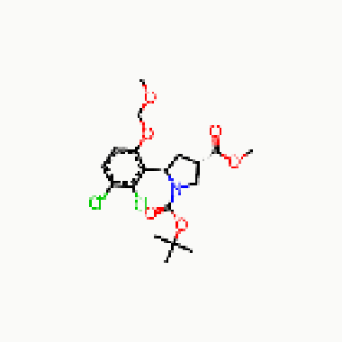 COCOc1ccc(Cl)c(Cl)c1[C@H]1C[C@H](C(=O)OC)CN1C(=O)OC(C)(C)C